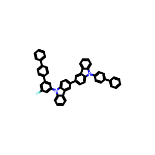 Fc1cc(-c2ccc(-c3ccccc3)cc2)cc(-n2c3ccccc3c3cc(-c4ccc5c(c4)c4ccccc4n5-c4ccc(-c5ccccc5)cc4)ccc32)c1